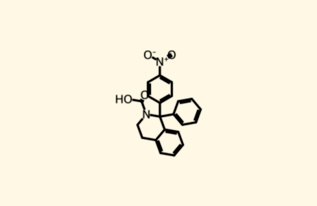 O=C(O)N1CCc2ccccc2C1(c1ccccc1)c1ccc([N+](=O)[O-])cc1